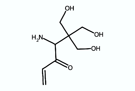 C=CC(=O)C(N)C(CO)(CO)CO